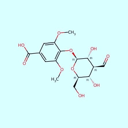 COc1cc(C(=O)O)cc(OC)c1O[C@@H]1O[C@H](CO)[C@@H](O)[C@H](C=O)[C@H]1O